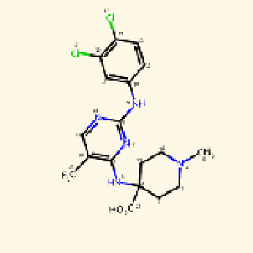 CN1CCC(Nc2nc(Nc3ccc(Cl)c(Cl)c3)ncc2C(F)(F)F)(C(=O)O)CC1